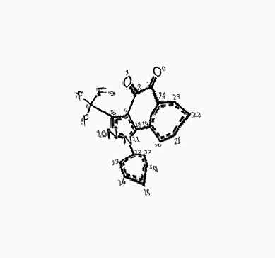 O=C1C(=O)c2c(C(F)(F)F)nn(-c3ccccc3)c2-c2ccccc21